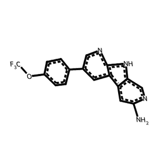 Nc1cc2c(cn1)[nH]c1ncc(-c3ccc(OC(F)(F)F)cc3)cc12